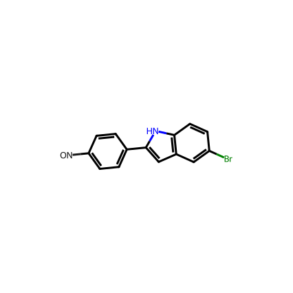 O=Nc1ccc(-c2cc3cc(Br)ccc3[nH]2)cc1